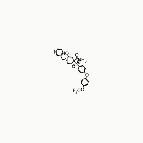 NC(=O)C1(S(=O)(=O)c2ccc(Oc3ccc(OC(F)(F)F)cc3)cc2)CCN(Cc2cccnc2)C(O)C1